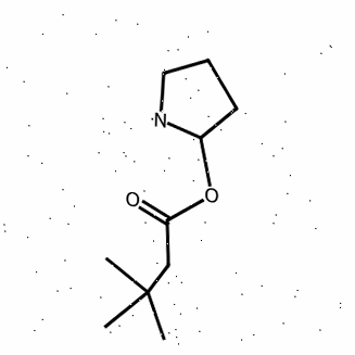 CC(C)(C)CC(=O)OC1CCC[N]1